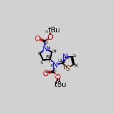 CC(C)(C)OC(=O)N1CC[C@H](N(C(=O)OC(C)(C)C)c2nccs2)C1